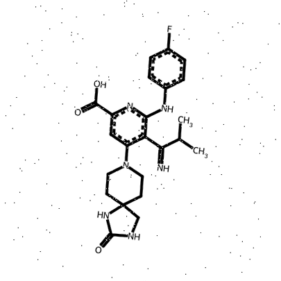 CC(C)C(=N)c1c(N2CCC3(CC2)CNC(=O)N3)cc(C(=O)O)nc1Nc1ccc(F)cc1